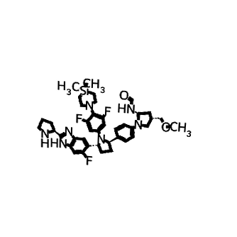 COC[C@H]1C[C@@H](NC=O)N(c2ccc([C@H]3CC[C@H](c4cc5nc([C@@H]6CCCN6)[nH]c5cc4F)N3c3cc(F)c(N4CC[Si](C)(C)CC4)c(F)c3)cc2)C1